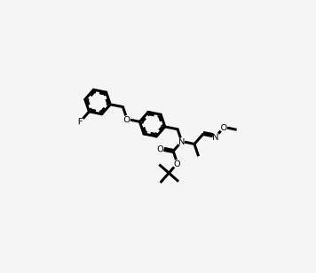 CON=CC(C)N(Cc1ccc(OCc2cccc(F)c2)cc1)C(=O)OC(C)(C)C